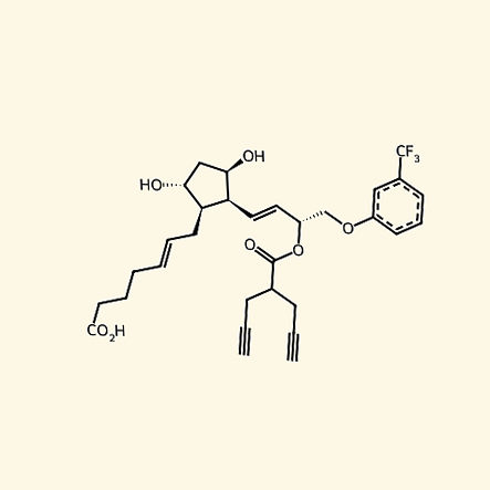 C#CCC(CC#C)C(=O)O[C@H](C=C[C@H]1[C@@H](CC=CCCCC(=O)O)[C@H](O)C[C@H]1O)COc1cccc(C(F)(F)F)c1